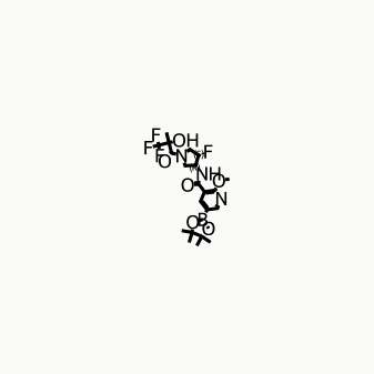 COc1ncc(B2OC(C)(C)C(C)(C)O2)cc1C(=O)N[C@@H]1CN(C(=O)C(C)(O)C(F)(F)F)C[C@@H]1F